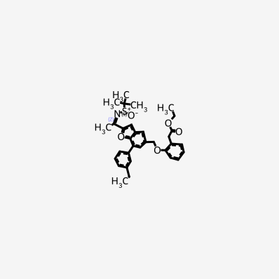 CCOC(=O)Cc1ccccc1OCc1cc(-c2cccc(CC)c2)c2oc(/C(C)=N\[S@+]([O-])C(C)(C)C)cc2c1